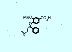 COc1cc(C(=O)O)ccc1O[C@H](CCN(C)C)c1ccccc1